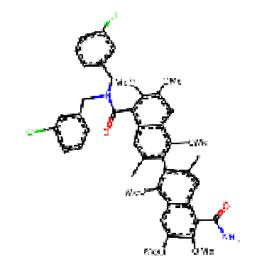 COc1cc2c(OC)c(-c3c(C)cc4c(C(=O)N(Cc5cccc(Cl)c5)Cc5cccc(Cl)c5)c(OC)c(OC)cc4c3OC)c(C)cc2c(C(N)=O)c1OC